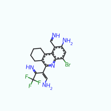 N=Cc1c(N)cc(Br)c2nc(/C(=C/N)C(=N)C(F)(F)F)c3c(c12)CCCC3